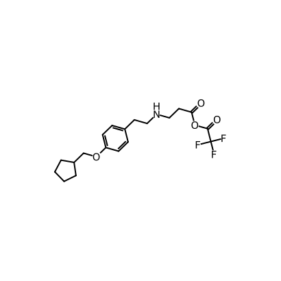 O=C(CCNCCc1ccc(OCC2CCCC2)cc1)OC(=O)C(F)(F)F